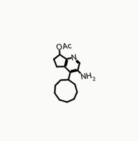 CC(=O)OC1CCc2c1ncc(N)c2C1CCCCCCCC1